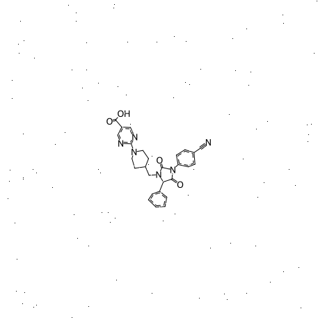 N#Cc1ccc(N2C(=O)C(c3ccccc3)N(CC3CCN(c4ncc(C(=O)O)cn4)CC3)C2=O)cc1